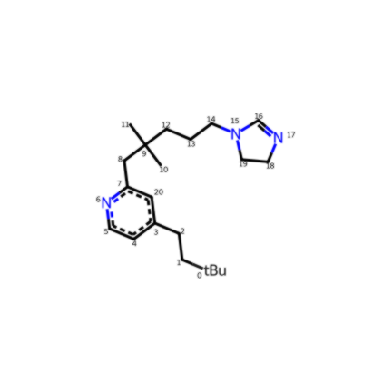 CC(C)(C)CCc1ccnc(CC(C)(C)CCCN2C=NCC2)c1